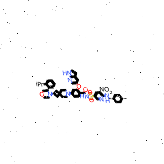 CC(C)c1ccccc1[C@@H]1COCCN1C1CC2(CCN(c3ccc(C(=O)NS(=O)(=O)c4cnc(NC[C@H]5CC[C@@H](C)CC5)c([N+](=O)[O-])c4)c(Oc4cnc5[nH]ccc5c4)c3)CC2)C1